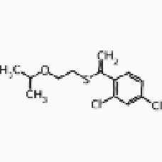 C=C(SCCOC(C)C)c1ccc(Cl)cc1Cl